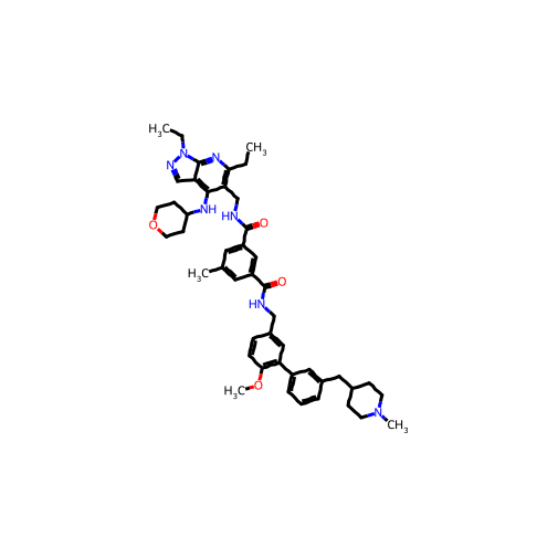 CCc1nc2c(cnn2CC)c(NC2CCOCC2)c1CNC(=O)c1cc(C)cc(C(=O)NCc2ccc(OC)c(-c3cccc(CC4CCN(C)CC4)c3)c2)c1